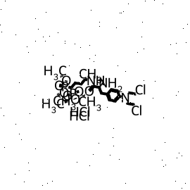 CCOP(=O)(OCC)C(CCC(C)NC(=O)[C@@H](N)Cc1ccc(N(CCCl)CCCl)cc1)P(=O)(OCC)OCC.Cl.Cl